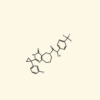 O=C(C(O)c1ccc(C(F)(F)F)cc1)N1CCCc2nc(C3(c4cccc(Cl)c4)CC3)[nH]c(=O)c2C1